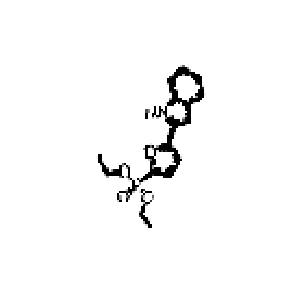 CCOP(=O)(OCC)c1ccc(-c2cc3ccccc3[nH]2)o1